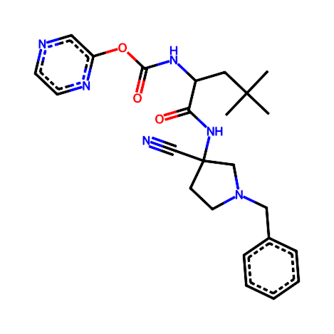 CC(C)(C)CC(NC(=O)Oc1cnccn1)C(=O)NC1(C#N)CCN(Cc2ccccc2)C1